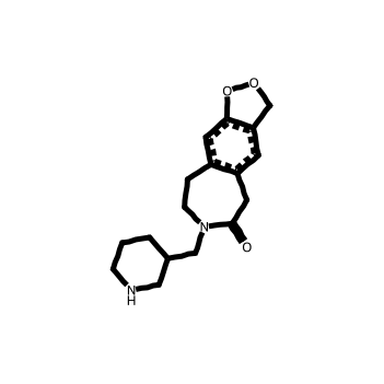 O=C1Cc2cc3c(cc2CCN1CC1CCCNC1)OOC3